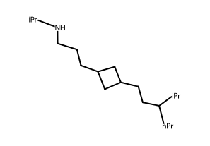 CCCC(CCC1CC(CCCNC(C)C)C1)C(C)C